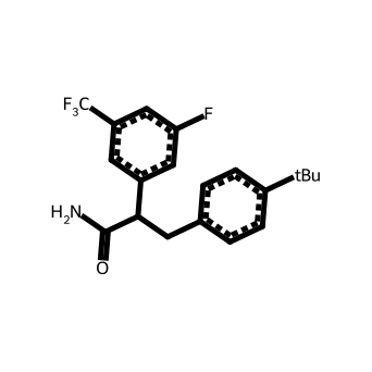 CC(C)(C)c1ccc(CC(C(N)=O)c2cc(F)cc(C(F)(F)F)c2)cc1